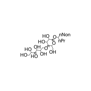 CCCCCCCCCC(CCC)O[C@@H]1OC(CO)[C@@H](OCC(O)C(O)[C@H](O)C(O)CO)C(O)C1O